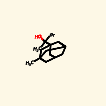 CC(C)C(C)(O)C12CC3CC(CC(C)(C3)C1)C2